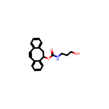 O=C(NCCCO)OC1Cc2ccccc2C#Cc2ccccc21